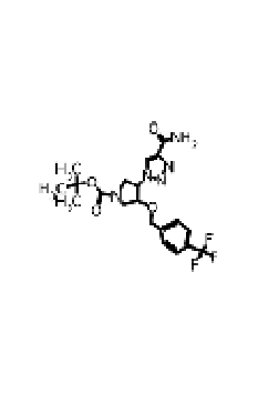 CC(C)(C)OC(=O)N1CC(OCc2ccc(C(F)(F)F)cc2)C(n2cc(C(N)=O)nn2)C1